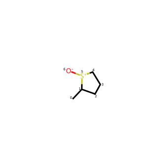 CC1CCC[S+]1[O-]